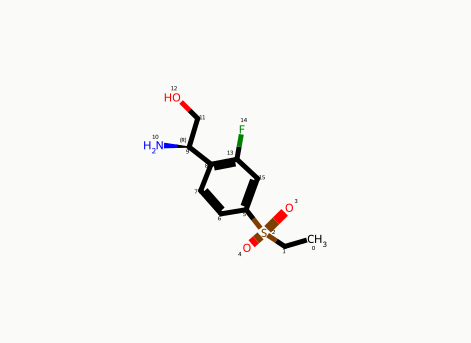 CCS(=O)(=O)c1ccc([C@@H](N)CO)c(F)c1